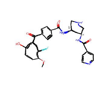 COc1ccc(O)c(C(=O)c2ccc(C(=O)N[C@H]3CNC[C@H]3NC(=O)c3ccncc3)cc2)c1F